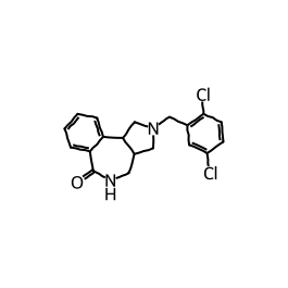 O=C1NCC2CN(Cc3cc(Cl)ccc3Cl)CC2c2ccccc21